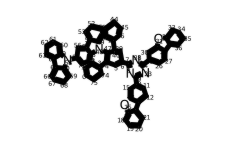 c1ccc(-c2cc(-c3nc(-c4ccc5c(c4)oc4ccccc45)nc(-c4ccc5c(c4)oc4ccccc45)n3)cc(-c3ccccc3)c2-n2c3ccccc3c3cc(-n4c5ccccc5c5ccccc54)ccc32)cc1